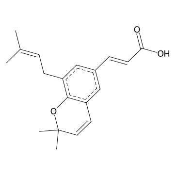 CC(C)=CCc1cc(C=CC(=O)O)cc2c1OC(C)(C)C=C2